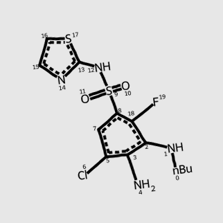 CCCCNc1c(N)c(Cl)cc(S(=O)(=O)Nc2nccs2)c1F